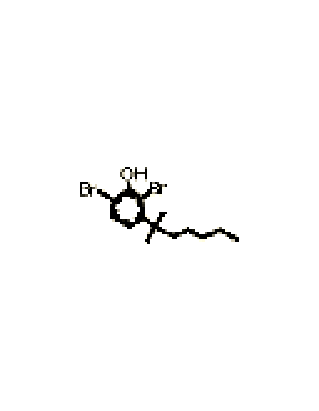 CCCCCC(C)(C)c1ccc(Br)c(O)c1Br